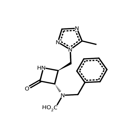 Cc1ncnn1C[C@@H]1NC(=O)[C@H]1N(Cc1ccccc1)C(=O)O